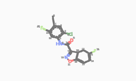 Cc1cc(Cl)c(NC(=O)C2=NOC3=CC=C(F)CC32)cc1F